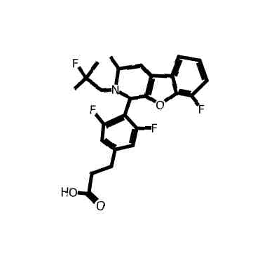 CC1Cc2c(oc3c(F)cccc23)C(c2c(F)cc(CCC(=O)O)cc2F)N1CC(C)(C)F